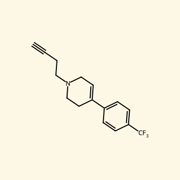 C#CCCN1CC=C(c2ccc(C(F)(F)F)cc2)CC1